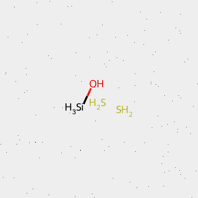 O[SiH3].S.S